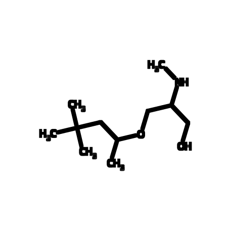 CNC(CO)COC(C)CC(C)(C)C